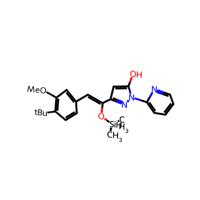 COc1cc(C=C(O[SiH](C)C)c2cc(O)n(-c3ccccn3)n2)ccc1C(C)(C)C